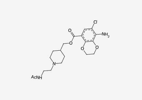 CC(=O)NCCN1CCC(COC(=O)c2cc(Cl)c(N)c3c2OCCO3)CC1